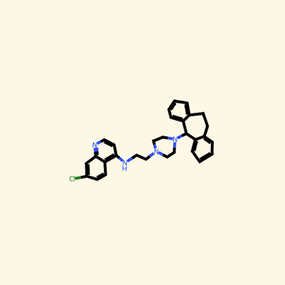 Clc1ccc2c(NCCN3CCN(C4c5ccccc5CCc5ccccc54)CC3)ccnc2c1